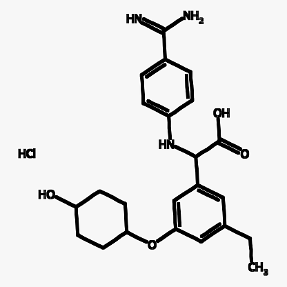 CCc1cc(OC2CCC(O)CC2)cc(C(Nc2ccc(C(=N)N)cc2)C(=O)O)c1.Cl